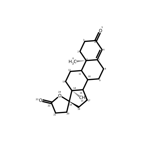 C[C@]12CCC(=O)C=C1CCC1C2CC[C@@]2(C)C1CC[C@]21CCC(=O)O1